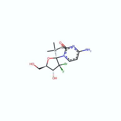 CC(C)(C)[Si](C)(C)[C@@]1(n2ccc(N)nc2=O)O[C@H](CO)[C@@H](O)[C@@]1(F)Br